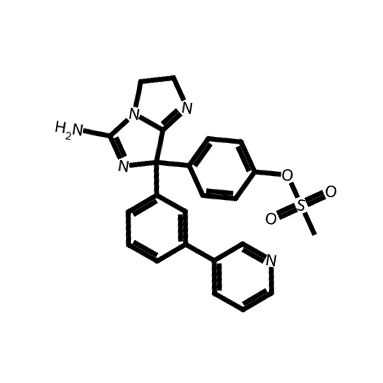 CS(=O)(=O)Oc1ccc(C2(c3cccc(-c4cccnc4)c3)N=C(N)N3CCN=C32)cc1